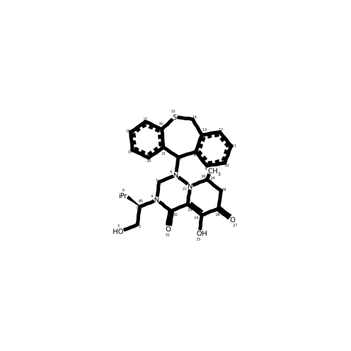 CC(C)[C@H](CO)N1CN(C2c3ccccc3CSc3ccccc32)N2C(=C(O)C(=O)CC2C)C1=O